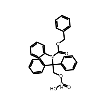 O=C(OCc1ccccc1)N(c1ccccc1)C(CO[PH](=O)O)(c1ccccc1)c1ccccc1